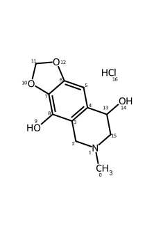 CN1Cc2c(cc3c(c2O)OCO3)C(O)C1.Cl